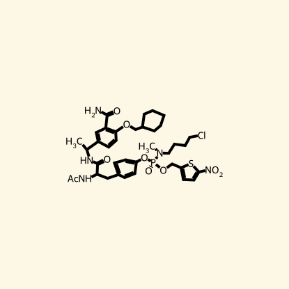 CC(=O)NC(Cc1ccc(OP(=O)(OCc2ccc([N+](=O)[O-])s2)N(C)CCCCCl)cc1)C(=O)NC(C)c1ccc(OCC2CCCCC2)c(C(N)=O)c1